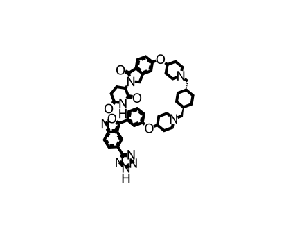 O=C1CCC(N2Cc3cc(OC4CCN(C[C@H]5CC[C@H](CN6CCC(Oc7cccc(-c8onc9ccc(-c%10nn[nH]n%10)cc89)c7)CC6)CC5)CC4)ccc3C2=O)C(=O)N1